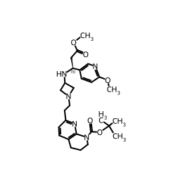 COC(=O)C[C@H](NC1CN(CCc2ccc3c(n2)N(C(=O)OC(C)(C)C)CCC3)C1)c1ccc(OC)nc1